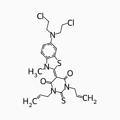 C=CCN1C(=O)C(=C2Sc3cc(N(CCCl)CCCl)ccc3N2C)C(=O)N(CC=C)C1=S